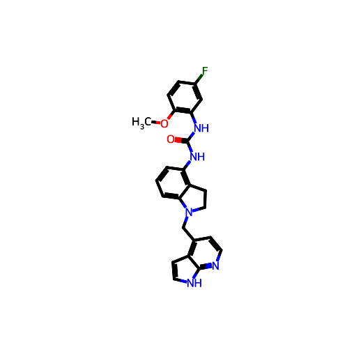 COc1ccc(F)cc1NC(=O)Nc1cccc2c1CCN2Cc1ccnc2[nH]ccc12